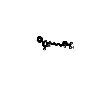 O=C(O)c1ccc(CCCCCSc2nc(-c3ccccc3)cc(=O)[nH]2)s1